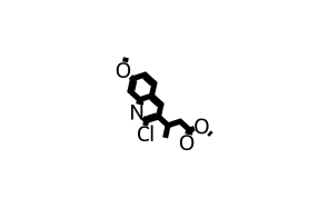 COC(=O)CC(C)c1cc2ccc(OC)cc2nc1Cl